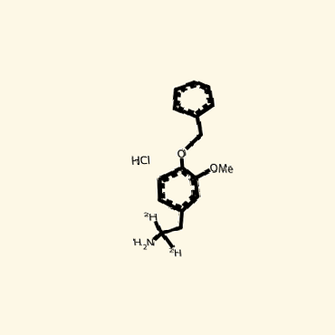 Cl.[2H]C([2H])(N)Cc1ccc(OCc2ccccc2)c(OC)c1